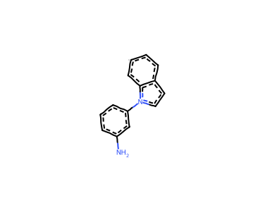 Nc1cccc(-n2ccc3cc[c]cc32)c1